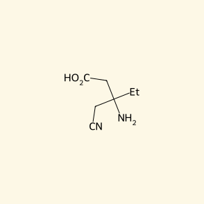 CCC(N)(CC#N)CC(=O)O